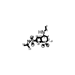 CCN[C@H]1C[C@H](C)S(=O)(=O)c2sc(S(=O)(=O)N=C(C)C)cc21